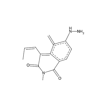 C=c1c(NN)ccc2c1=C(/C=C\C)C(=O)N(C)C2=O